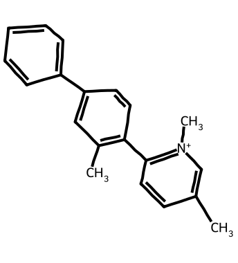 Cc1ccc(-c2ccc(-c3ccccc3)cc2C)[n+](C)c1